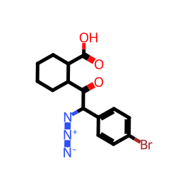 [N-]=[N+]=NC(C(=O)C1CCCCC1C(=O)O)c1ccc(Br)cc1